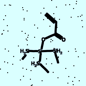 C=CC(=O)O[Si]([SiH2]C)([SiH2]C)[SiH2]C